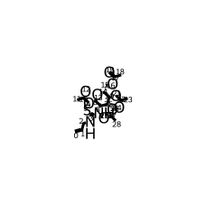 C=CCNC(=S)N[C@H]1[C@H](OC(C)=O)O[C@H](COC(C)=O)[C@@H](OC(C)=O)[C@@H]1OC(C)=O